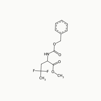 COC(=O)C(CC(C)(F)F)NC(=O)OCc1ccccc1